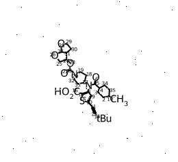 CC1CCC(C(=O)N(c2cc(C#CC(C)(C)C)sc2C(=O)O)C2CCN(C(=O)O[C@H]3COC4OCCC43)CC2)CC1